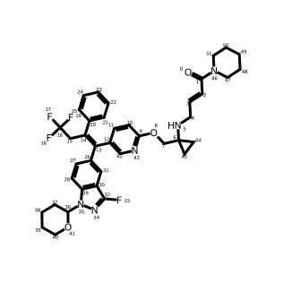 O=C(/C=C/CNC1(COc2ccc(/C(=C(/CC(F)(F)F)c3ccccc3)c3ccc4c(c3)c(F)nn4C3CCCCO3)cn2)CC1)N1CCCCC1